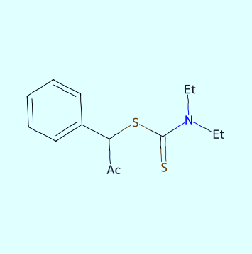 CCN(CC)C(=S)SC(C(C)=O)c1ccccc1